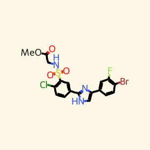 COC(=O)CNS(=O)(=O)c1cc(-c2nc(-c3ccc(Br)c(F)c3)c[nH]2)ccc1Cl